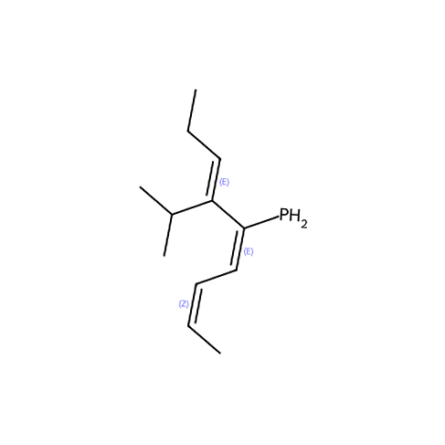 C\C=C/C=C(P)\C(=C\CC)C(C)C